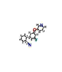 N#Cc1ccccc1-c1cc(F)cc(Oc2cccnc2)c1